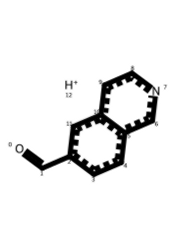 O=Cc1ccc2cnccc2c1.[H+]